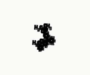 CC1OB(c2ccc(N(c3ccccc3)c3ccc4c(c3)C(C)(C)c3ccccc3-4)cc2)OC1C